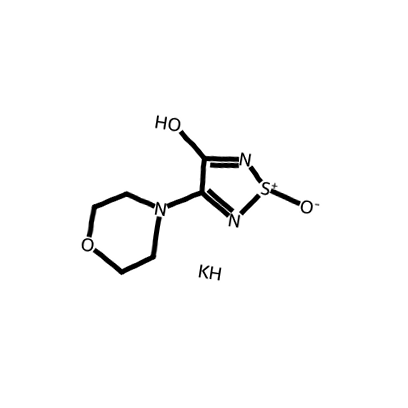 [KH].[O-][s+]1nc(O)c(N2CCOCC2)n1